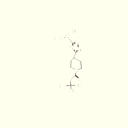 CN(C)c1nc(C2CCN(C(=O)OC(C)(C)C)CC2)no1